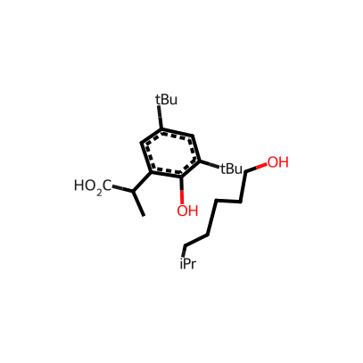 CC(C(=O)O)c1cc(C(C)(C)C)cc(C(C)(C)C)c1O.CC(C)CCCCCO